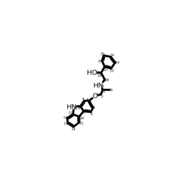 CC(COc1ccc2c(c1)[nH]c1ccccc12)NCC(O)c1ccccc1